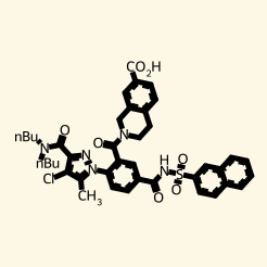 CCCCN(CCCC)C(=O)c1nn(-c2ccc(C(=O)NS(=O)(=O)c3ccc4ccccc4c3)cc2C(=O)N2CCc3ccc(C(=O)O)cc3C2)c(C)c1Cl